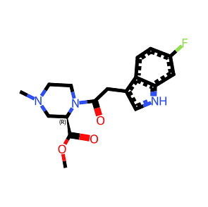 COC(=O)[C@H]1CN(C)CCN1C(=O)Cc1c[nH]c2cc(F)ccc12